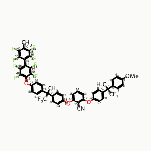 COc1ccc(C(C)(c2ccc(Oc3cccc(Oc4ccc(C(C)(c5ccc(Oc6c(F)c(F)c(-c7c(F)c(F)c(C)c(F)c7F)c(F)c6F)cc5)C(F)(F)F)cc4)c3C#N)cc2)C(F)(F)F)cc1